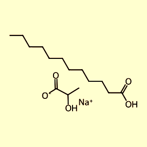 CC(O)C(=O)[O-].CCCCCCCCCCCC(=O)O.[Na+]